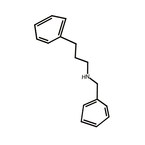 c1ccc(CCCNCc2ccccc2)cc1